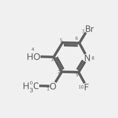 COc1c(O)cc(Br)nc1F